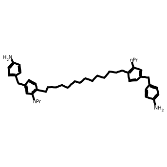 CCCc1cc(Cc2ccc(N)cc2)ccc1CCCCCCCCCCCCCCc1ccc(Cc2ccc(N)cc2)cc1CCC